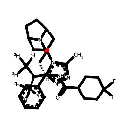 [2H]C([2H])([2H])C(c1nnc(C)n1C1CC2CCC(C1)N2CC[C@H](NC(=O)C1CCC(F)(F)CC1)c1ccccc1)C([2H])([2H])[2H]